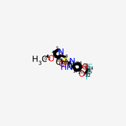 CCOc1ccnc(C[S+]([O-])c2nc3cc4c(cc3[nH]2)OC(F)C(F)(F)O4)c1C